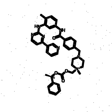 Cc1ccc(NC(=O)c2ccc(CN3CC[N+](C)(COC(=O)O[C@H](C)c4ccccc4)CC3)cc2)cc1Nc1nccc(-c2cccnc2)n1